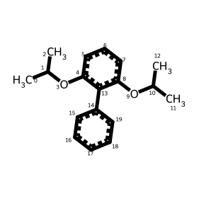 CC(C)Oc1cccc(OC(C)C)c1-c1ccccc1